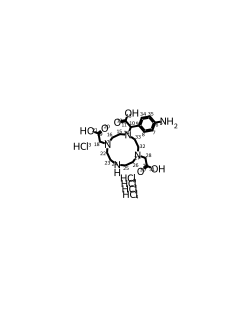 Cl.Cl.Cl.Cl.Cl.Nc1ccc(C(C(=O)O)N2CCN(CC(=O)O)CCNCCN(CC(=O)O)CC2)cc1